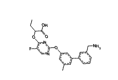 CCC(Oc1nc(Oc2cc(C)cc(-c3cccc(CN)c3)c2)ncc1F)C(=O)O